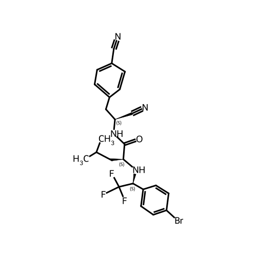 CC(C)C[C@H](N[C@@H](c1ccc(Br)cc1)C(F)(F)F)C(=O)N[C@H](C#N)Cc1ccc(C#N)cc1